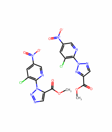 COC(=O)c1cnn(-c2ncc([N+](=O)[O-])cc2Cl)n1.COC(=O)c1cnnn1-c1ncc([N+](=O)[O-])cc1Cl